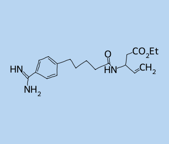 C=CC(CC(=O)OCC)NC(=O)CCCCc1ccc(C(=N)N)cc1